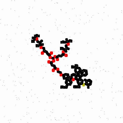 CCCCC(C)(CC)OCC(C)C(C)(CC)OCC(=O)CCC(=O)OC(OC(=O)CCC(=O)OCCOc1ccc(C2(c3ccc(OC)cc3)C=Cc3c4c(c5cc(Sc6c(C)cccc6C)c(OC)cc5c3O2)-c2ccccc2C42CCC(CC)(CC)CC2)cc1)OC(=O)CCC(=O)OC(C)(CC)C(C)COC(C)(CC)CCCC